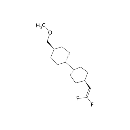 COC[C@H]1CC[C@H]([C@H]2CC[C@H](C=C(F)F)CC2)CC1